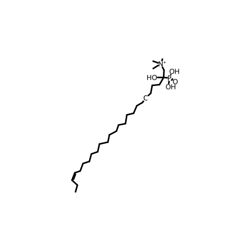 CC/C=C\CCCCCCCCCCCCCCCCCCCC(O)(C[N+](C)(C)C)P(=O)(O)O